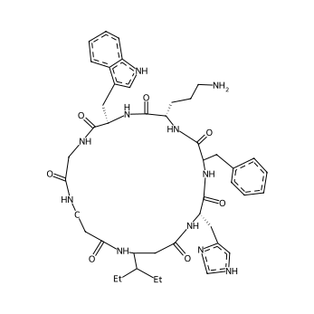 CCC(CC)C1CC(=O)N[C@@H](Cc2c[nH]cn2)C(=O)NC(Cc2ccccc2)C(=O)N[C@@H](CCCN)C(=O)N[C@@H](Cc2c[nH]c3ccccc23)C(=O)NCC(=O)NCCC(=O)N1